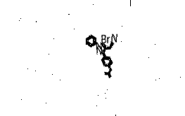 CC(C)Cc1ccc(-c2nn(-c3ccccc3)c(Br)c2CC#N)cc1